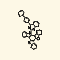 c1ccc(-c2ccc(-c3nc(-n4c5ccccc5c5c6sc7ccccc7c6c6oc7ccccc7c6c54)nc4ccccc34)cc2)cc1